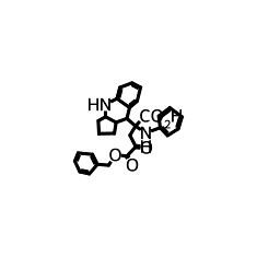 O=C(CC(Nc1ccccc1)(C(=O)O)C1c2ccccc2NC2CCCC21)C(=O)OCc1ccccc1